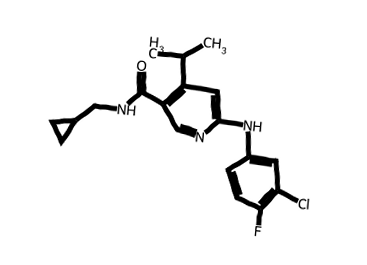 CC(C)c1cc(Nc2ccc(F)c(Cl)c2)ncc1C(=O)NCC1CC1